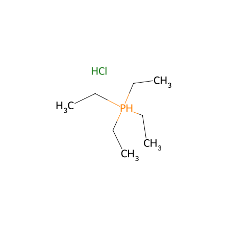 CC[PH](CC)(CC)CC.Cl